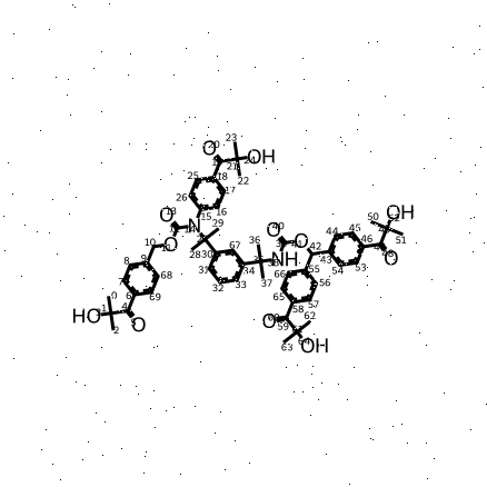 CC(C)(O)C(=O)c1ccc(COC(=O)N(c2ccc(C(=O)C(C)(C)O)cc2)C(C)(C)c2cccc(C(C)(C)NC(=O)OC(c3ccc(C(=O)C(C)(C)O)cc3)c3ccc(C(=O)C(C)(C)O)cc3)c2)cc1